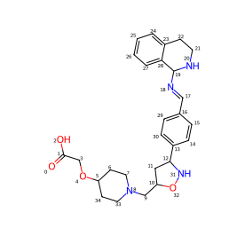 O=C(O)COC1CCN(CC2CC(c3ccc(C=NC4NCCc5ccccc54)cc3)NO2)CC1